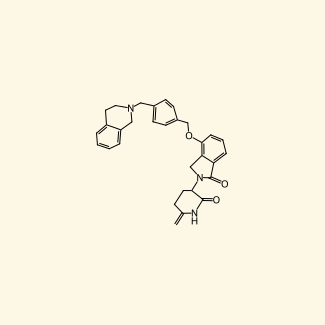 C=C1CCC(N2Cc3c(OCc4ccc(CN5CCc6ccccc6C5)cc4)cccc3C2=O)C(=O)N1